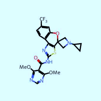 COc1ncnc(OC)c1C(=O)Nc1nc2c(s1)C1(CN(C3CC3)C1)Oc1cc(C(F)(F)F)ccc1-2